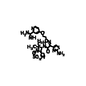 CC1(C)[C@H](NC(=O)/C(=N\OCCOc2ccnc(C(=N)N)c2)c2csc(N)n2)C(=O)N1OS(=O)(=O)O